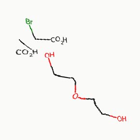 CC(=O)O.O=C(O)CBr.OCCOCCO